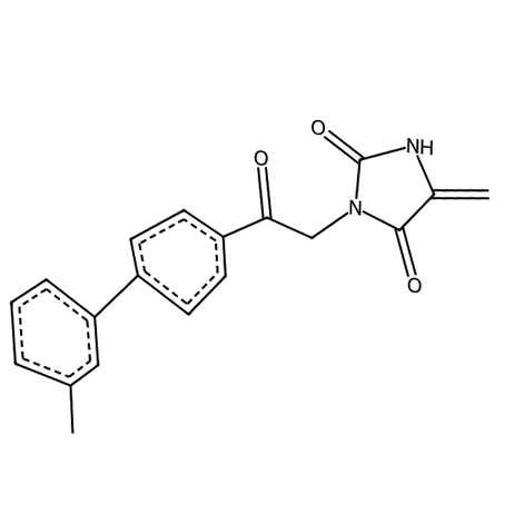 C=C1NC(=O)N(CC(=O)c2ccc(-c3cccc(C)c3)cc2)C1=O